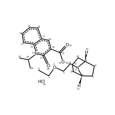 CCOCCN1[C@@H]2CC[C@H]1C[C@@H](OC(=O)c1cc3ccccc3n(C(C)C)c1=O)C2.Cl